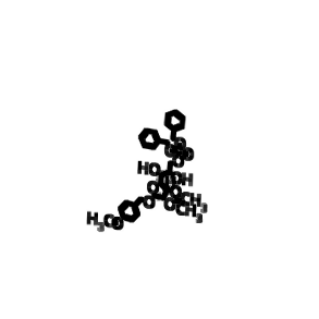 COc1ccc(CO[C@H]2O[C@H]([C@H](O)[C@H](O)COP(=O)(OCc3ccccc3)OCc3ccccc3)[C@H]3OC(C)(C)OC23)cc1